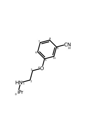 CC(C)NCCOc1cccc(C#N)c1